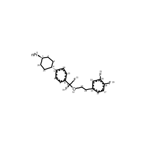 CCC[C@H]1CC[C@H](c2ccc(C(F)(F)OCCc3ccc(F)c(F)c3)cc2)CC1